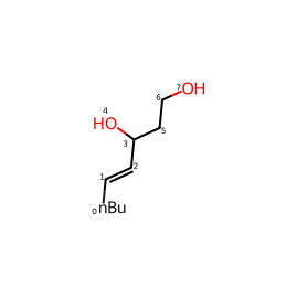 CCCCC=CC(O)CCO